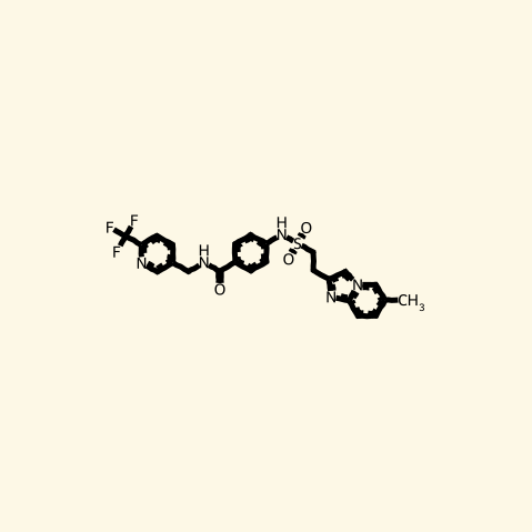 Cc1ccc2nc(CCS(=O)(=O)Nc3ccc(C(=O)NCc4ccc(C(F)(F)F)nc4)cc3)cn2c1